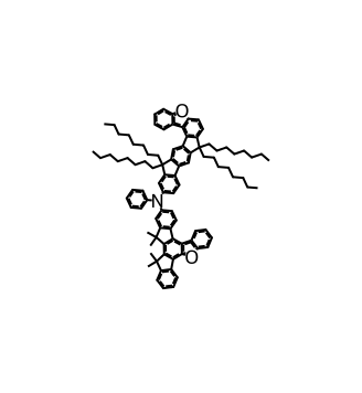 CCCCCCCCC1(CCCCCCCC)c2cc(N(c3ccccc3)c3ccc4c(c3)C(C)(C)c3c5c(c6oc7ccccc7c6c3-4)-c3ccccc3C5(C)C)ccc2-c2cc3c(cc21)-c1c(ccc2oc4ccccc4c12)C3(CCCCCCCC)CCCCCCCC